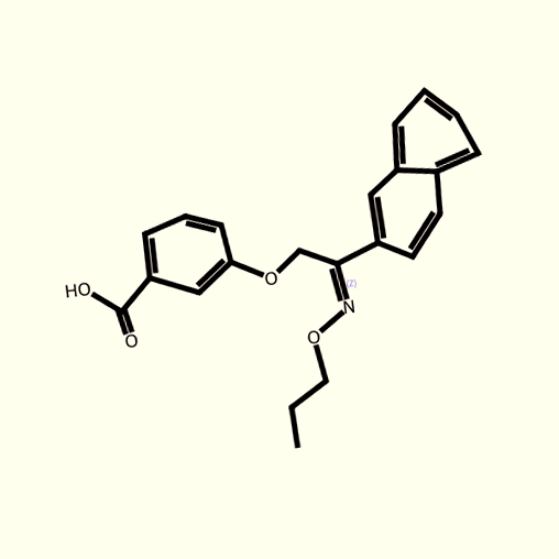 CCCO/N=C(\COc1cccc(C(=O)O)c1)c1ccc2ccccc2c1